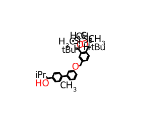 Cc1cc(C(O)C(C)C)ccc1-c1cccc(OCc2ccc(C(O[SiH](C)C)C(C)(C)C)c(C(O[SiH](C)C)C(C)(C)C)c2)c1